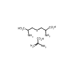 C=C(N)C(=O)O.NC(CSCC(N)C(=O)O)C(=O)O